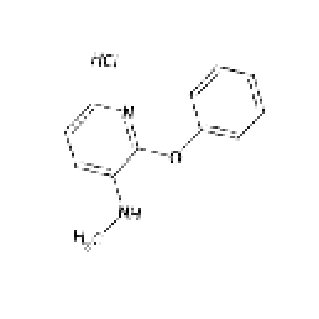 CNc1cccnc1Oc1ccccc1.Cl